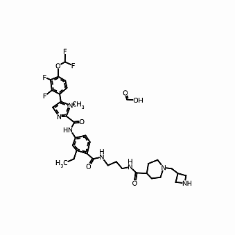 CCc1cc(NC(=O)c2ncc(-c3ccc(OC(F)F)c(F)c3F)n2C)ccc1C(=O)NCCCNC(=O)C1CCN(CC2CNC2)CC1.O=CO